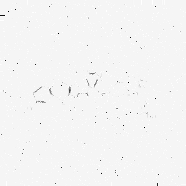 CC(C)[Si](O[C@H]1C[C@H](Nc2ncncc2C(=O)c2cc([C@@H](O)c3cccc(Cl)c3)c(Cl)s2)C[C@@H]1COS(N)(=O)=O)(C(C)C)C(C)C